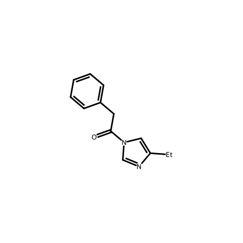 CCc1cn(C(=O)Cc2ccccc2)cn1